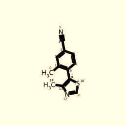 Cc1cc(C#N)ccc1-c1scnc1C